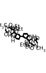 CC[Si](CC)(CC)OC12CC3C(=O)N(C)CC(=O)N3[C@H]1Nc1ccc(-c3ccc4c(c3)C3(O[Si](CC)(CC)CC)C[C@H]5C(=O)N(C)CC(=O)N5[C@H]3N4)cc12